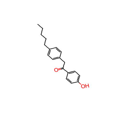 CCCCCc1ccc(CC(=O)c2ccc(O)cc2)cc1